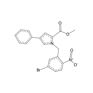 COC(=O)c1cc(-c2ccccc2)cn1Cc1cc(Br)ccc1[N+](=O)[O-]